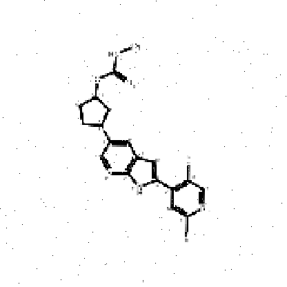 CC(C)NC(=O)O[C@@H]1CC[C@H](c2cnc3[nH]c(-c4cc(F)ncc4F)cc3c2)C1